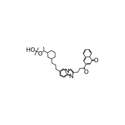 CC(OC(C)(C)O)C1CCCC(CCCc2ccc3nc(CCC(=O)C4=CC(=O)C5C=CC=CC5=C4)cn3c2)C1